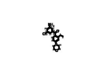 CCc1cc(N2CCOCC2)ccc1C(=O)c1cc(N)cc(Cl)c1